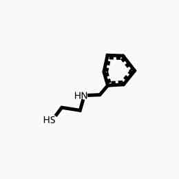 SCCNCc1ccccc1